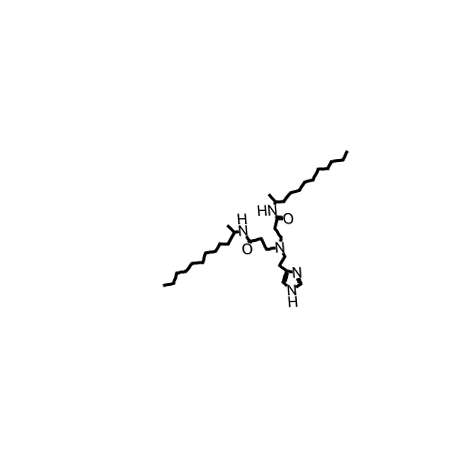 CCCCCCCCCCC(C)NC(=O)CCN(CCC(=O)NC(C)CCCCCCCCCC)CCc1c[nH]cn1